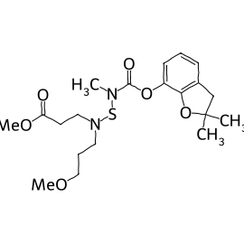 COCCCN(CCC(=O)OC)SN(C)C(=O)Oc1cccc2c1OC(C)(C)C2